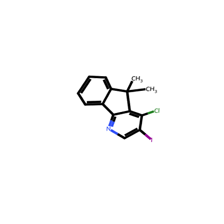 CC1(C)c2ccccc2-c2ncc(I)c(Cl)c21